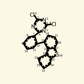 Clc1nc(Cl)nc(-c2ccccc2-c2cccc3sc4ccccc4c23)n1